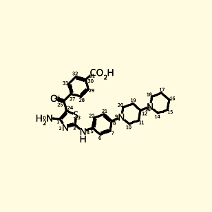 Nc1nc(Nc2ccc(N3CCC(N4CCCCC4)CC3)cc2)sc1C(=O)c1ccc(C(=O)O)cc1